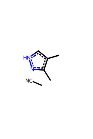 CC#N.Cc1c[nH]nc1C